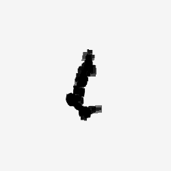 O=C(NS(=O)(=O)CCC(F)(F)F)c1ccc(N2CCN(C(=O)c3ccccc3C#Cc3cncc(O)c3)CC2)nn1